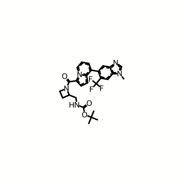 Cn1cnc2cc(-c3cccn4c(C(=O)N5CCC5CNC(=O)OC(C)(C)C)ccc34)c(C(F)(F)F)cc21